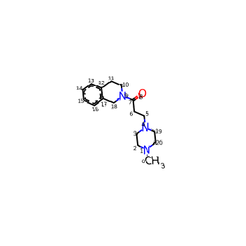 CN1CCN(CCC(=O)N2CCc3ccccc3C2)CC1